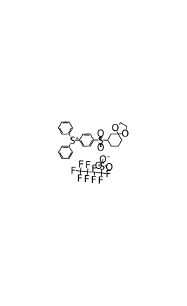 O=S(=O)([O-])C(F)(F)C(F)(F)C(F)(F)C(F)(F)F.O=S(=O)(c1ccc([S+](c2ccccc2)c2ccccc2)cc1)C1CCCC2(C1)OCCO2